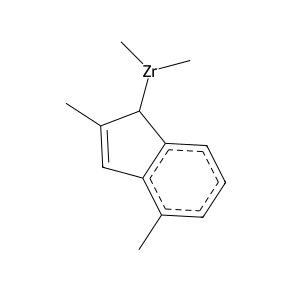 CC1=Cc2c(C)cccc2[CH]1[Zr]([CH3])[CH3]